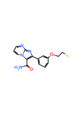 NC(=O)c1c(-c2cccc(OCCF)c2)nc2n[c]ccn12